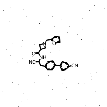 N#Cc1ccc(-c2ccc(CC(C#N)NC(=O)C3CN(Cc4ccco4)C3)cc2)cc1